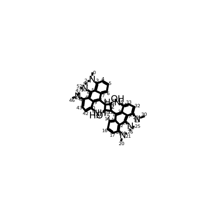 CN(C)c1cccc2c(C3C(O)C(c4c5cccc(N(C)C)c5c(N(C)C)c5c(N(C)C)ccc(N)c45)C3O)c3c(N)ccc(N(C)C)c3c(N(C)C)c12